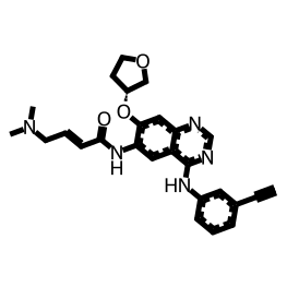 C#Cc1cccc(Nc2ncnc3cc(O[C@@H]4CCOC4)c(NC(=O)/C=C/CN(C)C)cc23)c1